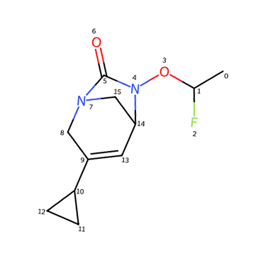 CC(F)ON1C(=O)N2CC(C3CC3)=CC1C2